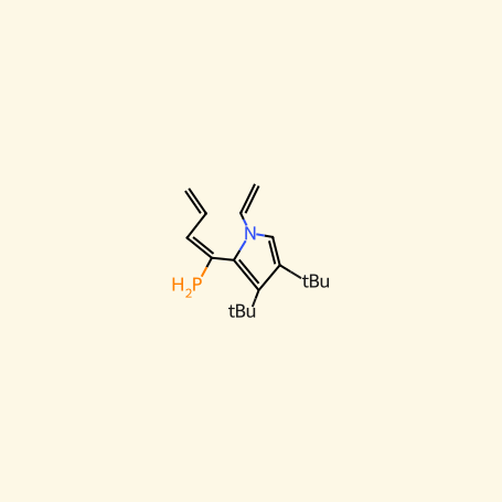 C=C/C=C(/P)c1c(C(C)(C)C)c(C(C)(C)C)cn1C=C